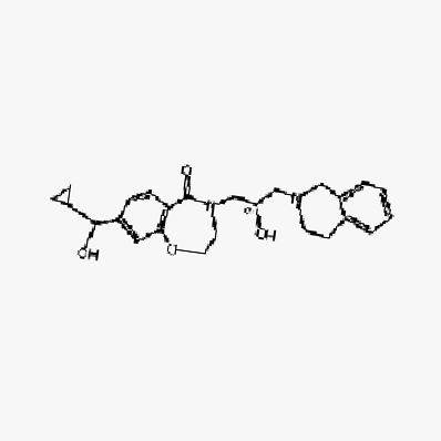 O=C1c2ccc(C(O)C3CC3)cc2OCCN1C[C@H](O)CN1CCc2ccccc2C1